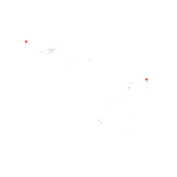 CC(C)(C)c1cc2c3c(c1)N(c1ccccc1-c1ccccc1)c1cc(Cl)ccc1B3c1ccc(Cl)cc1N2c1ccccc1-c1ccccc1